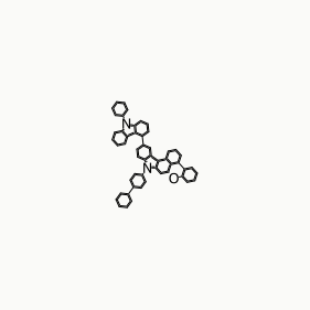 c1ccc(-c2ccc(-n3c4ccc(-c5cccc6c5c5ccccc5n6-c5ccccc5)cc4c4c5cccc6c5c(cc43)Oc3ccccc3-6)cc2)cc1